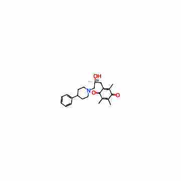 CC1=C(C)C(=O)C(C[C@](C)(O)CN2CCC(c3ccccc3)CC2)=C(C)C1=O